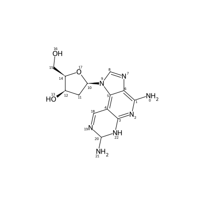 Nc1nc2c(c3c1ncn3[C@H]1C[C@@H](O)[C@@H](CO)O1)C=NC(N)N2